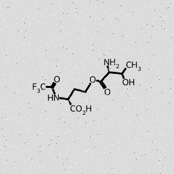 CC(O)[C@H](N)C(=O)OCC[C@H](NC(=O)C(F)(F)F)C(=O)O